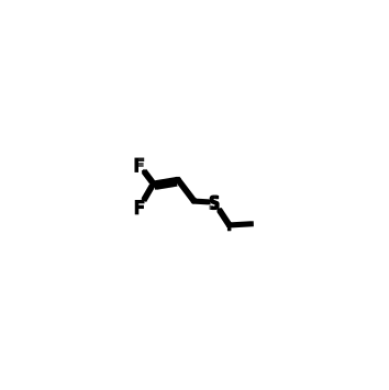 C[CH]SCC=C(F)F